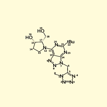 Cn1nnnc1Cn1nnc2c(N3CC[C@H](O)[C@@H]3CO)nc(C(C)(C)C)nc21